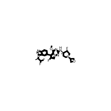 COc1nc(N[C@@H]2CCN(C3COC3)C[C@@H]2F)nn2cc(F)c(-c3ccc4nnn([C@H](C)C(F)F)c4c3)c12